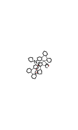 c1ccc(N(c2ccc3c(c2)-c2ccccc2-c2ccccc2O3)c2ccc3c(c2)C2(c4ccccc4-c4ccccc4-3)c3ccccc3-c3c2ccc2c3-c3ccccc3C2)cc1